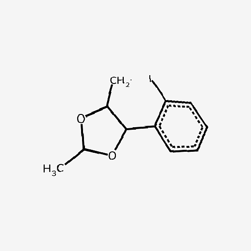 [CH2]C1OC(C)OC1c1ccccc1I